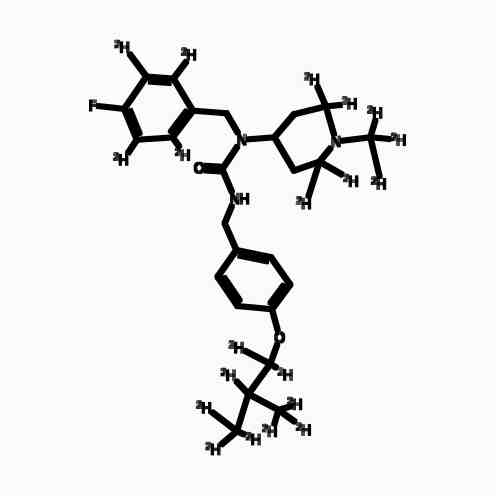 [2H]c1c([2H])c(CN(C(=O)NCc2ccc(OC([2H])([2H])C([2H])(C([2H])([2H])[2H])C([2H])([2H])[2H])cc2)C2CC([2H])([2H])N(C([2H])([2H])[2H])C([2H])([2H])C2)c([2H])c([2H])c1F